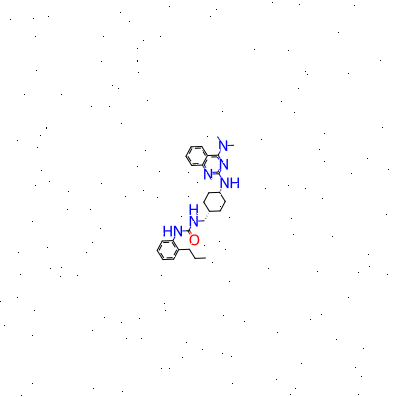 CCCc1ccccc1NC(=O)NC[C@H]1CC[C@@H](Nc2nc(N(C)C)c3ccccc3n2)CC1